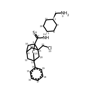 NC[C@H]1CC[C@H](NC(=S)C23CC4CC(c5ccccc5)(CC2(CCl)C4)C3)CC1